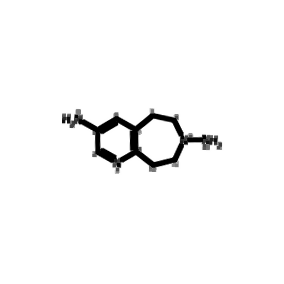 Nc1cnc2c(c1)CCN(N)CC2